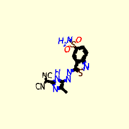 [C-]#[N+]C([N+]#[C-])c1nc(C)c(/N=N/c2snc3ccc(S(N)(=O)=O)cc23)[nH]1